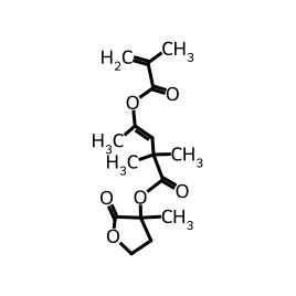 C=C(C)C(=O)O/C(C)=C/C(C)(C)C(=O)OC1(C)CCOC1=O